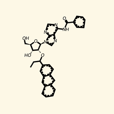 CCC(O[C@@H]1[C@H](O)[C@@H](CO)O[C@H]1n1cnc2c(NC(=O)c3ccccc3)ncnc21)c1ccc2cc3ccccc3cc2c1